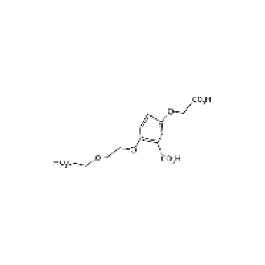 O=C(O)COCCOc1ccc(OCC(=O)O)cc1C(=O)O